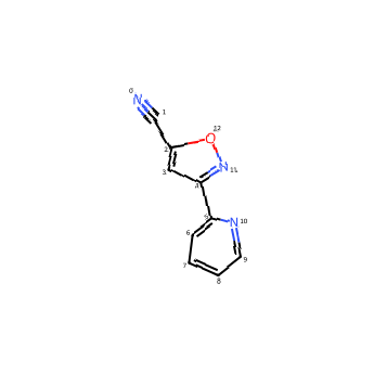 N#Cc1cc(-c2ccccn2)no1